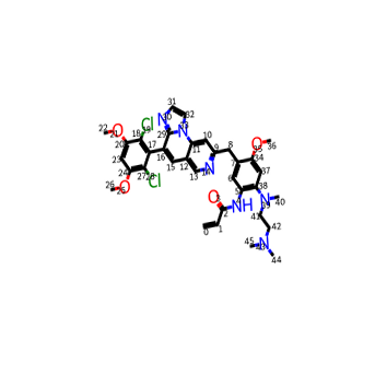 C=CC(=O)Nc1cc(Cc2cc3c(cn2)cc(-c2c(Cl)c(OC)cc(OC)c2Cl)c2nccn23)c(OC)cc1N(C)CCN(C)C